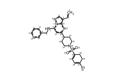 C=Cc1cnn2c(NCc3cccnc3)cc(C3CCN(S(=O)(=O)C4=CC=C(CC)CC4)CC3)nc12